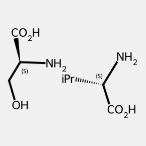 CC(C)[C@H](N)C(=O)O.N[C@@H](CO)C(=O)O